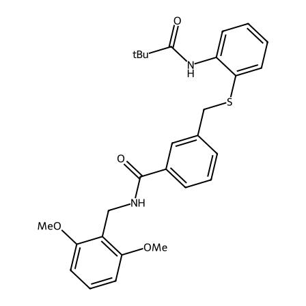 COc1cccc(OC)c1CNC(=O)c1cccc(CSc2ccccc2NC(=O)C(C)(C)C)c1